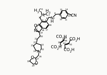 CN(C)Cc1c(CNCc2ccc(C#N)cc2)ccc2c(CCC3CCN(CC4OCCO4)CC3)noc12.O=C(O)C=CC(=O)O.O=C(O)C=CC(=O)O